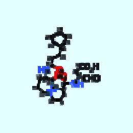 O=CC(CC(=O)O)NC(=O)C1CCCN2CCCC(NC(=O)CCc3ccccc3)C(=O)N12